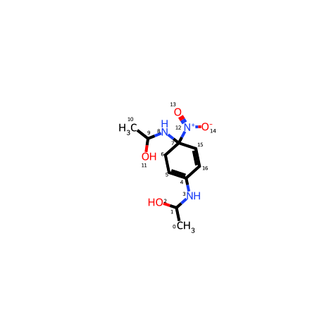 CC(O)NC1=CCC(NC(C)O)([N+](=O)[O-])C=C1